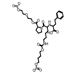 O=C(NCCCCC(NC(CCc1ccccc1)C(=O)O)C(=O)N1CCCC1C(=O)OCCOCCO[N+](=O)[O-])OCCCCO[N+](=O)[O-]